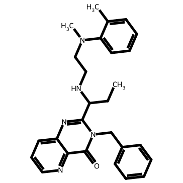 CCC(NCCN(C)c1ccccc1C)c1nc2cccnc2c(=O)n1Cc1ccccc1